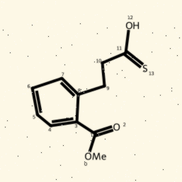 COC(=O)c1ccccc1CCC(O)=S